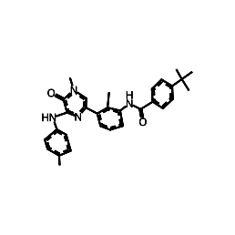 Cc1ccc(Nc2nc(-c3cccc(NC(=O)c4ccc(C(C)(C)C)cc4)c3C)cn(C)c2=O)cc1